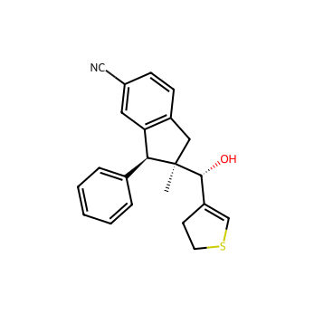 C[C@@]1([C@H](O)C2=CSCC2)Cc2ccc(C#N)cc2[C@@H]1c1ccccc1